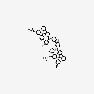 C=CC1=CCC(C2(C3CC=C(F)CC3)C3=C(C=CC(N(C4=Cc5c(sc6ccc(N(C7=CCC(F)CC7)c7ccc8c(c7)C(C7=CCC(C=C)C=C7)(c7ccc(F)cc7)C7CCC=CC87)cc56)CC4)c4ccc(F)cc4)C3)C3C=CCCC32)C=C1